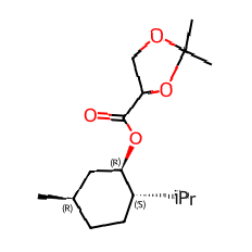 CC(C)[C@@H]1CC[C@@H](C)C[C@H]1OC(=O)C1COC(C)(C)O1